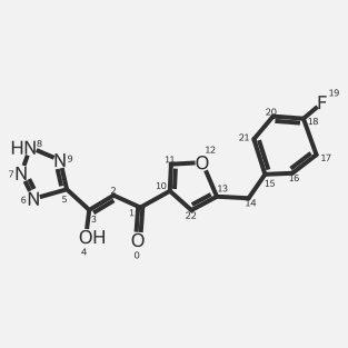 O=C(C=C(O)c1nn[nH]n1)c1coc(Cc2ccc(F)cc2)c1